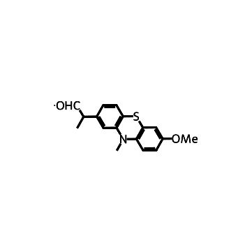 COc1ccc2c(c1)Sc1ccc(C(C)[C]=O)cc1N2C